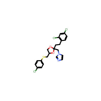 Clc1ccc(SCC2COC(CCc3ccc(Cl)cc3Cl)(Cn3ccnc3)O2)cc1